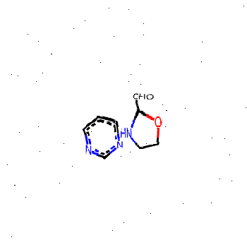 O=CC1NCCO1.c1cncnc1